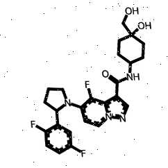 O=C(NC1CCC(O)(CO)CC1)c1cnn2ccc(N3CCCC3c3cc(F)ccc3F)c(F)c12